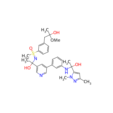 COC(C)(O)Cc1cccc(S(C)(=O)=NC(C)(O)c2cncc(-c3cccc(NC(C)(O)c4cc(C)nn4C)c3)c2)c1